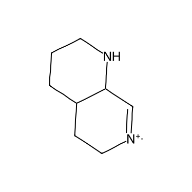 C1=[N+]CCC2CCCNC12